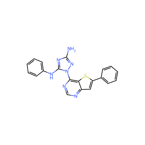 Nc1nc(Nc2ccccc2)n(-c2ncnc3cc(-c4ccccc4)sc23)n1